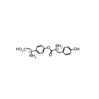 N[C@@H](Cc1ccc(O)cc1)C(=O)Oc1ccc([C@@H](N)CC(=O)O)cc1